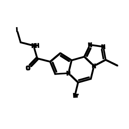 Cc1nnc2c3cc(C(=O)NCI)cn3c(Br)cn12